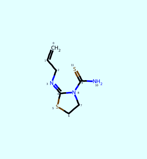 C=CCN=C1SCCN1C(N)=S